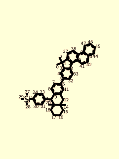 CC1(C)c2cc(-c3ccc4c(c3)CC3(C)CCCCC3(C)C4c3ccc([Si](C)(C)C)cc3)ccc2-c2c1ccc1c2ccc2ccccc21